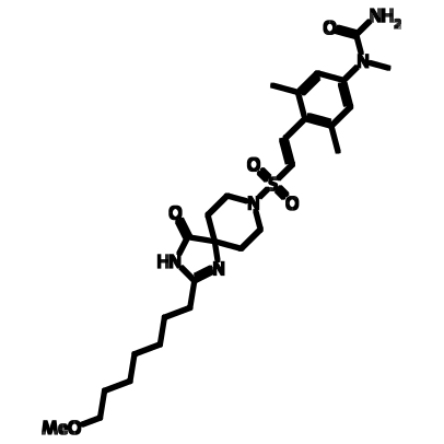 COCCCCCCCC1=NC2(CCN(S(=O)(=O)C=Cc3c(C)cc(N(C)C(N)=O)cc3C)CC2)C(=O)N1